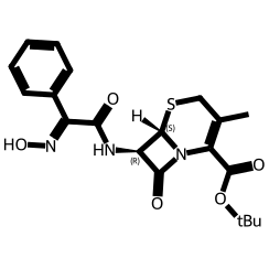 CC1=C(C(=O)OC(C)(C)C)N2C(=O)[C@@H](NC(=O)C(=NO)c3ccccc3)[C@@H]2SC1